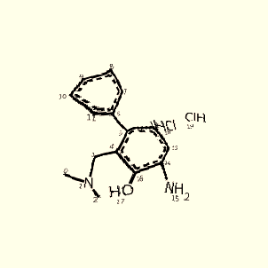 CN(C)Cc1c(-c2ccccc2)ccc(N)c1O.Cl.Cl